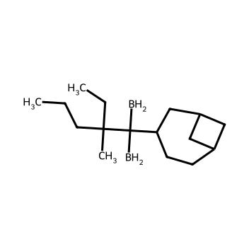 BC(B)(C1CCC2CC(C2)C1)C(C)(CC)CCC